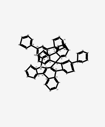 c1ccc(-c2ccc3c(c2)C2(c4ccccc4-c4ccccc42)c2c-3c3ccccc3c3c4ccccc4n(-c4nc(-c5ccccc5)cc(-c5ccccc5)n4)c23)cc1